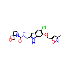 Cc1cc(COc2cc3[nH]c(CNC(=O)N4CCC45COC5)cc3cc2Cl)on1